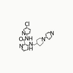 O=C(Nc1ccc(Cl)cn1)c1ncccc1NCC1CCN(c2ccncc2)CC1